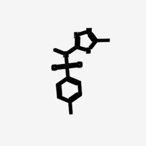 Cc1ccc(S(=O)(=O)N(C)c2nnc(C)s2)cc1